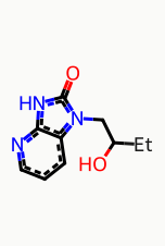 CCC(O)Cn1c(=O)[nH]c2ncccc21